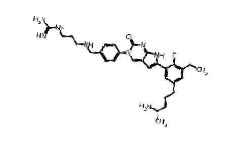 CCc1cc(CCC[C@H](C)N)cc(-c2cc3cn(-c4ccc(CNCCCNC(=N)N)cc4)c(=O)nc3[nH]2)c1F